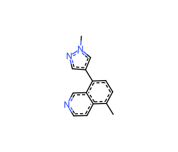 Cc1ccc(-c2cnn(C)c2)c2cnccc12